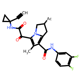 C#CC1(NC(=O)C(=O)c2c(C)c(C(=O)Nc3ccc(F)c(F)c3)c3n2CC(C(C)=O)C3)CC1